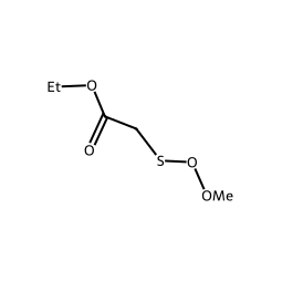 CCOC(=O)CSOOC